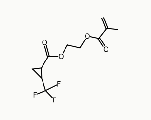 C=C(C)C(=O)OCCOC(=O)C1CC1C(F)(F)F